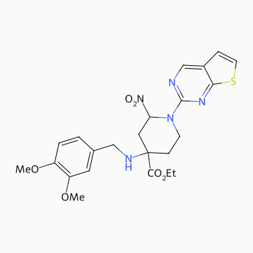 CCOC(=O)C1(NCc2ccc(OC)c(OC)c2)CCN(c2ncc3ccsc3n2)C([N+](=O)[O-])C1